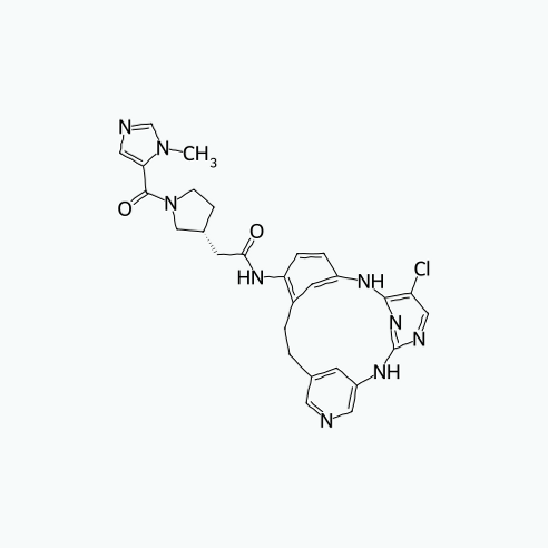 Cn1cncc1C(=O)N1CC[C@H](CC(=O)Nc2ccc3cc2CCc2cncc(c2)Nc2ncc(Cl)c(n2)N3)C1